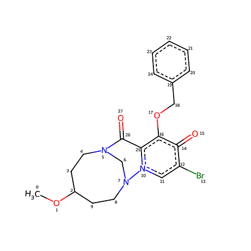 COC1CCN2CN(CC1)n1cc(Br)c(=O)c(OCc3ccccc3)c1C2=O